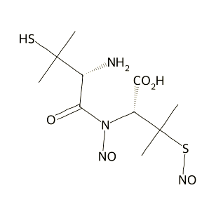 CC(C)(S)[C@H](N)C(=O)N(N=O)[C@H](C(=O)O)C(C)(C)SN=O